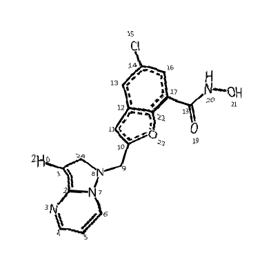 [2H]C1=C2N=CC=CN2N(Cc2cc3cc(Cl)cc(C(=O)NO)c3o2)C1